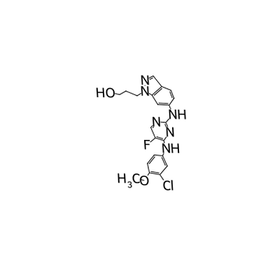 COc1ccc(Nc2nc(Nc3ccc4cnn(CCCO)c4c3)ncc2F)cc1Cl